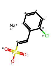 O=S(=O)([O-])C=Cc1ccccc1Cl.[Na+]